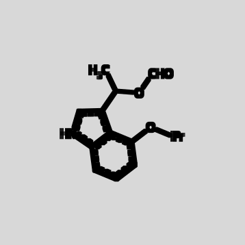 CC(C)Oc1cccc2[nH]cc(C(C)OC=O)c12